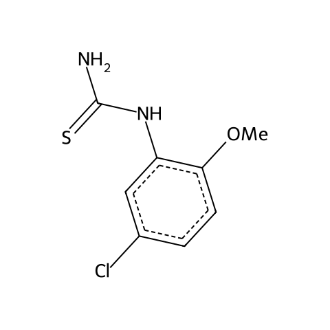 COc1ccc(Cl)cc1NC(N)=S